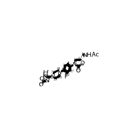 CC(=O)NC[C@H]1CN(c2ccc(N3CCN(c4nc(=O)o[nH]4)CC3)c(F)c2)C(=O)O1